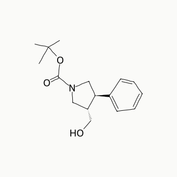 CC(C)(C)OC(=O)N1C[C@@H](CO)[C@H](c2ccccc2)C1